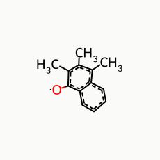 Cc1c(C)c([O])c2ccccc2c1C